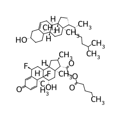 CC(C)CCC[C@@H](C)[C@H]1CC[C@H]2[C@@H]3CC=C4C[C@@H](O)CC[C@]4(C)[C@H]3CC[C@]12C.CCCCC(=O)OCC(=O)[C@H]1[C@H](C)C[C@H]2[C@@H]3C[C@H](F)C4=CC(=O)C=C[C@]4(C)[C@@]3(F)[C@@H](O)C[C@@]21C